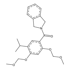 COCOc1cc(OCOC)c(C(C)C)cc1C(=O)N1Cc2ccccc2C1